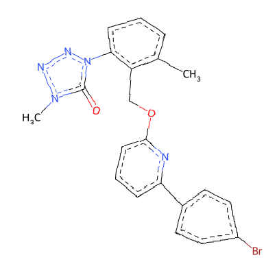 Cc1cccc(-n2nnn(C)c2=O)c1COc1cccc(-c2ccc(Br)cc2)n1